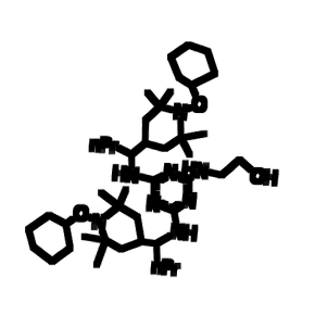 CCCC(Nc1nc(NCCO)nc(NC(CCC)C2CC(C)(C)N(OC3CCCCC3)C(C)(C)C2)n1)C1CC(C)(C)N(OC2CCCCC2)C(C)(C)C1